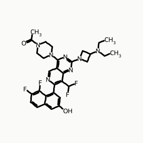 CCN(CC)C1CN(c2nc(N3CCN(C(C)=O)CC3)c3cnc(-c4cc(O)cc5ccc(F)c(F)c45)c(C(F)F)c3n2)C1